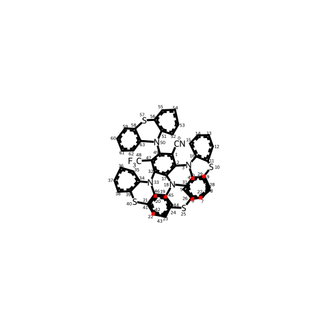 N#Cc1c(N2c3ccccc3Sc3ccccc32)c(N2c3ccccc3Sc3ccccc32)c(N2c3ccccc3Sc3ccccc32)c(C(F)(F)F)c1N1c2ccccc2Sc2ccccc21